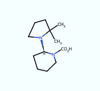 CC1(C)CCCN1[C@@H]1CCCCN1C(=O)O